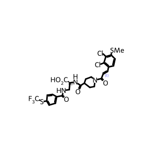 CSc1ccc(/C=C/C(=O)N2CCC(C(=O)N[C@@H](CNC(=O)c3ccc(SC(F)(F)F)cc3)C(=O)O)CC2)c(Cl)c1Cl